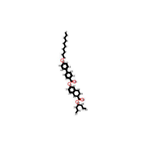 CCCCCCCCCCOc1ccc(-c2ccc(C(=O)Oc3ccc4c(c3)CCC(C(=O)OC(CCC)CCC)C4)cc2)cc1